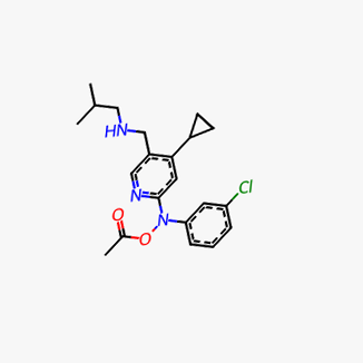 CC(=O)ON(c1cccc(Cl)c1)c1cc(C2CC2)c(CNCC(C)C)cn1